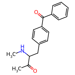 CNC(Cc1ccc(C(=O)c2ccccc2)cc1)C(C)=O